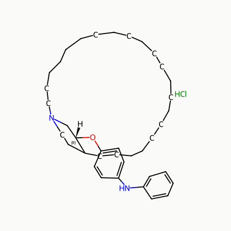 Cl.c1ccc(Nc2ccc(O[C@H]3CN4CCCCCCCCCCCCCCCCCCCCCC3CC4)cc2)cc1